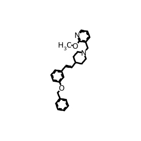 COc1ncccc1CN1CCC(C=Cc2cccc(OCc3ccccc3)c2)CC1